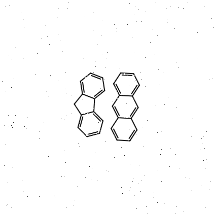 c1ccc2c(c1)Cc1ccccc1-2.c1ccc2cc3ccccc3cc2c1